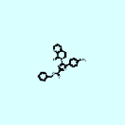 Cc1ccc(-c2oc(C(=O)OCc3ccccc3)nc2N2CCc3cccnc3C2=O)cc1